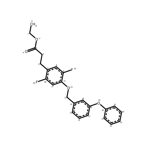 CCOC(=O)CCc1cc(F)c(OCc2cccc(Oc3ccccc3)c2)cc1F